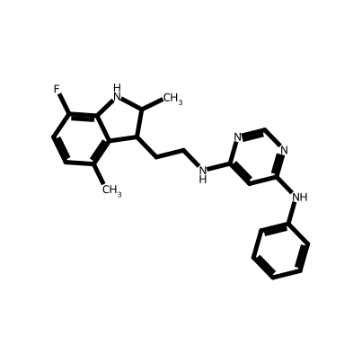 Cc1ccc(F)c2c1C(CCNc1cc(Nc3ccccc3)ncn1)C(C)N2